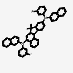 CC1(C)c2cc(N(c3cccc(F)c3)c3ccc4ccccc4c3)ccc2-c2c1cc(N(c1cccc(F)c1)c1ccc3ccccc3c1)c1ccccc21